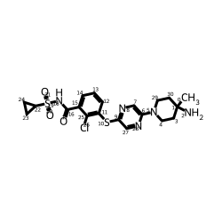 CC1(N)CCN(c2cnc(Sc3cccc(C(=O)NS(=O)(=O)C4CC4)c3Cl)cn2)CC1